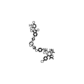 Cc1sc2c(c1C)C(c1ccc(Cl)cc1)=N[C@@H](CC(=O)Nc1ccc(OC3CN([C@@H]4CN(C5CN(c6ccc7c(c6)C(=O)N(C6CCC(=O)NC6=O)C7=O)C5)CCO4)C3)cc1)c1nnc(C)n1-2